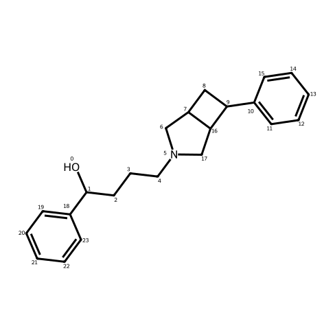 OC(CCCN1CC2CC(c3ccccc3)C2C1)c1ccccc1